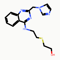 OCCSCCNc1nc(Cn2ccnc2)nc2ccccc12